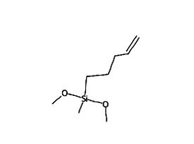 C=CCCC[Si](C)(OC)OC